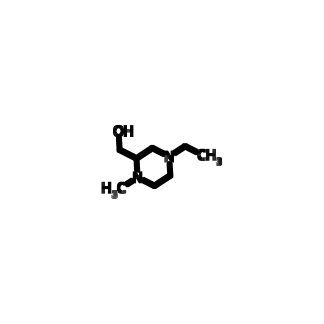 CCN1CCN(C)C(CO)C1